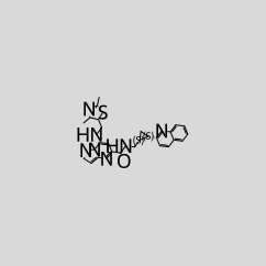 CC1=NC(C)C(CNc2cc(C(=O)NC[C@H]3C[C@@H]3c3ccc4ccccc4n3)nc3ccnn23)S1